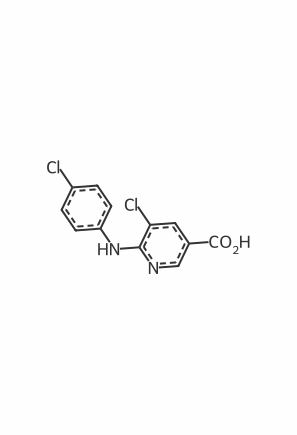 O=C(O)c1cnc(Nc2ccc(Cl)cc2)c(Cl)c1